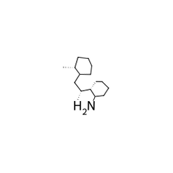 C[C@@H]1CCCCC1C[C@@H](C)[C@@H]1CCCCC1N